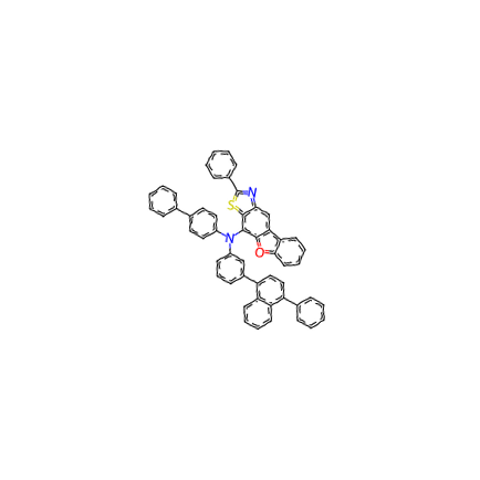 c1ccc(-c2ccc(N(c3cccc(-c4ccc(-c5ccccc5)c5ccccc45)c3)c3c4oc5ccccc5c4cc4nc(-c5ccccc5)sc34)cc2)cc1